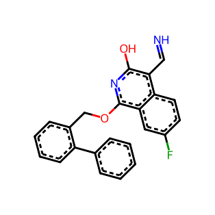 N=Cc1c(O)nc(OCc2ccccc2-c2ccccc2)c2cc(F)ccc12